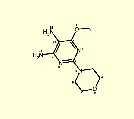 COc1nc(N2CCOCC2)nc(N)c1N